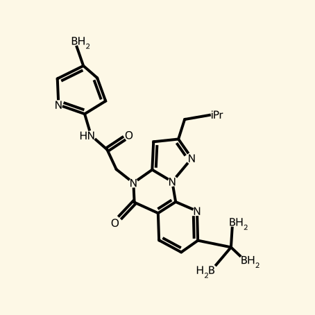 Bc1ccc(NC(=O)Cn2c(=O)c3ccc(C(B)(B)B)nc3n3nc(CC(C)C)cc23)nc1